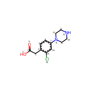 O=C(O)Cc1ccc(N2CCNCC2)cc1Cl